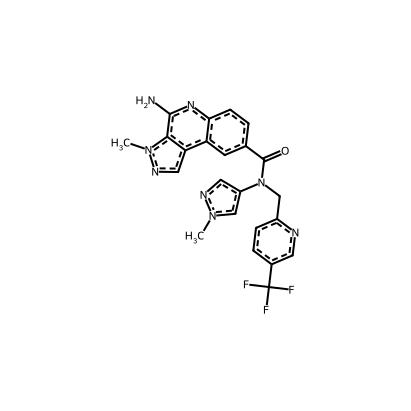 Cn1cc(N(Cc2ccc(C(F)(F)F)cn2)C(=O)c2ccc3nc(N)c4c(cnn4C)c3c2)cn1